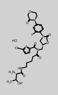 CC(O)[C@H](N)C(=O)NCCCCC(=O)N(C[C@H]1CN(c2ccc(N3CCOCC3=O)cc2F)C(=O)O1)C(=O)c1ccc(Cl)s1.Cl